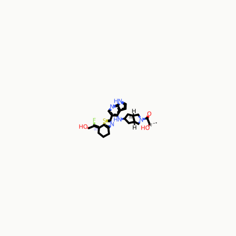 C[C@H](O)C(=O)N1C[C@H]2CC(Nc3c(-c4nc5c(s4)/C(=C(\F)CO)CCC5)cnc4[nH]ccc34)C[C@H]2C1